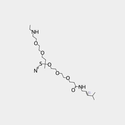 CCNCCOCCOCCC(C)(OCCOCCOCCC(=O)NC/C=C/C(C)C)SC#N